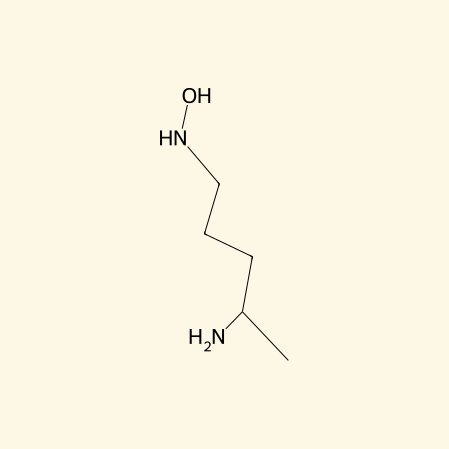 CC(N)CCCNO